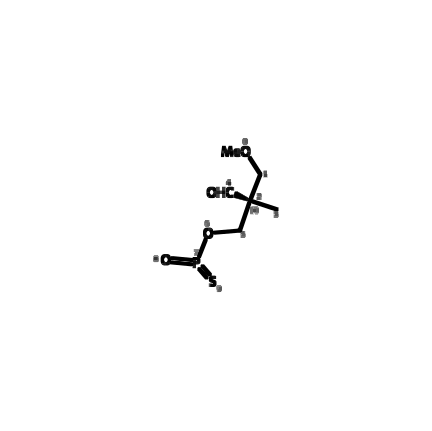 COC[C@@](C)(C=O)COP(=O)=S